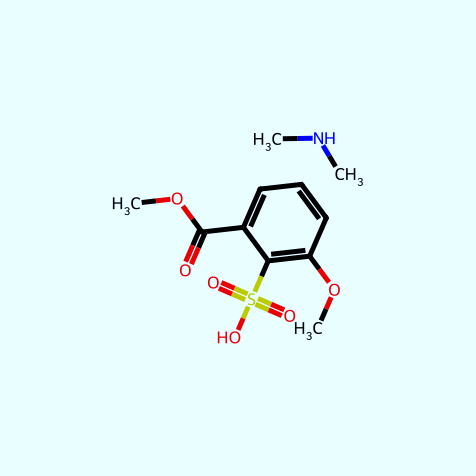 CNC.COC(=O)c1cccc(OC)c1S(=O)(=O)O